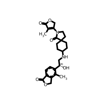 CC1=C(N2CCC3(CCC(NC[C@H](O)c4ccc5c(c4C)COC5=O)CC3)C2=O)COC1=O